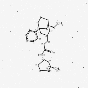 CC[C@@]12CCC[C@@](c3ccccc3)(CC(CCC(=O)N[C@H]3CCN[C@H](C)C3)C1)C2